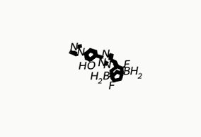 B[C@]12C/C(=C\c3cnc(-c4ccc(-n5ccnc5)cc4O)nn3)[C@H](F)[C@](B)(C[C@H]1F)C2